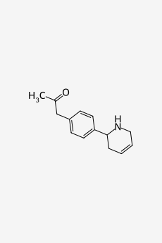 CC(=O)Cc1ccc(C2CC=CCN2)cc1